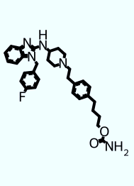 NC(=O)OCCCCc1ccc(CCN2CCC(Nc3nc4ccccc4n3Cc3ccc(F)cc3)CC2)cc1